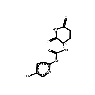 O=C1CC[C@H](NC(=O)Nc2ccc([N+](=O)[O-])cn2)C(=O)N1